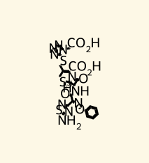 Nc1nc(C(=NOc2ccccc2)C(=O)NC2C(=O)N3C(C(=O)O)=C(CSc4nnnn4CC(=O)O)CS[C@@H]23)ns1